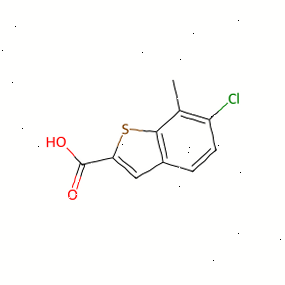 Cc1c(Cl)ccc2cc(C(=O)O)sc12